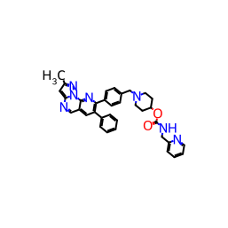 Cc1cc2ncc3cc(-c4ccccc4)c(-c4ccc(CN5CCC(OC(=O)NCc6ccccn6)CC5)cc4)nc3n2n1